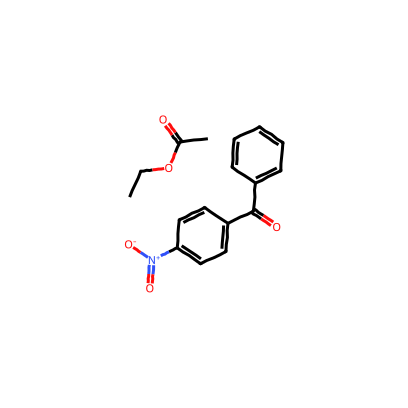 CCOC(C)=O.O=C(c1ccccc1)c1ccc([N+](=O)[O-])cc1